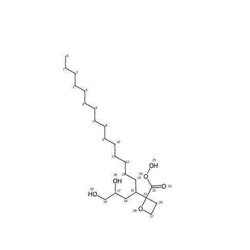 CCCCCCCCCCCCCCCC(CC(O)CO)C1(C(=O)OO)CCO1